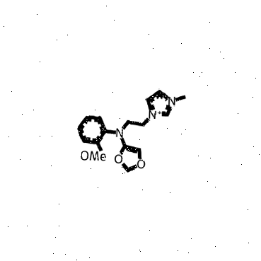 COc1ccccc1N(CC[n+]1ccn(C)c1)C1=COCO1